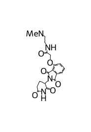 CNCCNC(=O)COc1cccc2c1C(=O)N(C1CCC(=O)NC1=O)C2=O